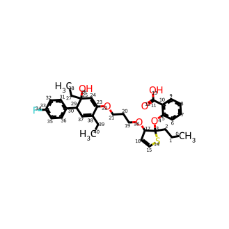 CCCC1(Oc2ccccc2C(=O)O)SC=CC1OCCCOC1=CC(O)(CC)C(c2ccc(F)cc2)C=C1CC